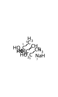 CC(=O)O.CC(=O)O.CC(=O)O.N.[NaH]